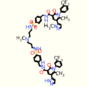 Cc1c(-c2ccn[nH]2)cc(C(=O)NCc2ccc(S(=O)(=O)NCCCN(C)CCCNS(=O)(=O)c3ccc(CNC(=O)c4cc(-c5ccnn5C)c(C)n(-c5cccc(C(F)(F)F)c5)c4=O)cc3)cc2)c(=O)n1-c1cccc(C(F)(F)F)c1